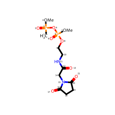 COP(C)(=O)OP(=O)(OC)OCCNC(=O)CN1C(=O)CCC1=O